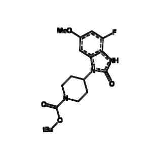 COc1cc(F)c2[nH]c(=O)n(C3CCN(C(=O)OC(C)(C)C)CC3)c2c1